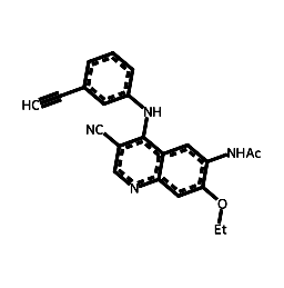 C#Cc1cccc(Nc2c(C#N)cnc3cc(OCC)c(NC(C)=O)cc23)c1